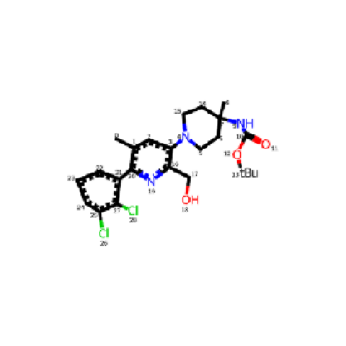 Cc1cc(N2CCC(C)(NC(=O)OC(C)(C)C)CC2)c(CO)nc1-c1cccc(Cl)c1Cl